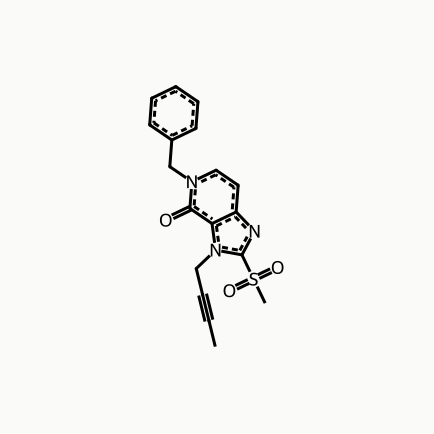 CC#CCn1c(S(C)(=O)=O)nc2ccn(Cc3ccccc3)c(=O)c21